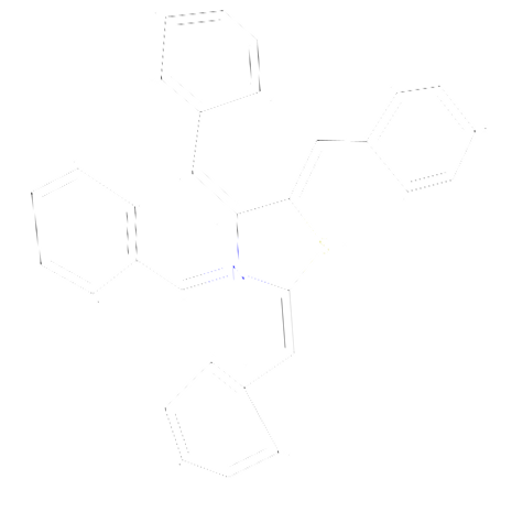 C(c1ccccc1)=c1sc(=Cc2ccccc2)[n+](=Cc2ccccc2)c1=Cc1ccccc1